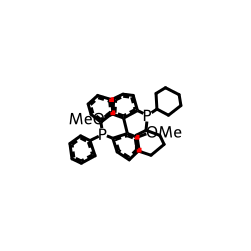 COc1cccc(P(c2ccccc2)c2ccccc2)c1-c1c(OC)cccc1P(C1CCCCC1)C1CCCCC1